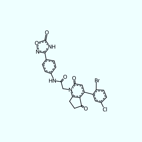 O=C(Cn1c2c(c(-c3cc(Cl)ccc3Br)cc1=O)C(=O)CC2)Nc1ccc(-c2noc(=O)[nH]2)cc1